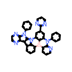 c1ccc(N2c3cc(-c4ncccn4)cc4c3B(c3cccnc32)c2cccc3c5c6nccnc6n(-c6ccccc6)c5n-4c23)cc1